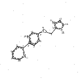 c1ccc(-c2ccc(OCc3nccs3)cn2)nc1